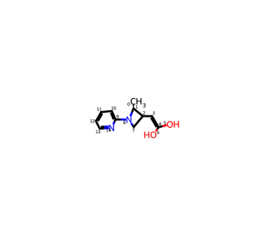 C[C@@H]1C(C=C(O)O)CN1c1ccccn1